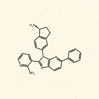 Nc1ncccc1-c1nc2ccc(-c3ccccc3)nc2n1-c1ccc2c(c1)CC[C@@H]2N